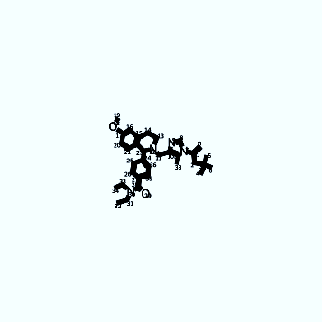 C=C(CC(C)(C)C)n1cnc(CN2CCc3cc(OC)[c]cc3C2c2ccc(C(=O)N(CC)CC)cc2)c1C